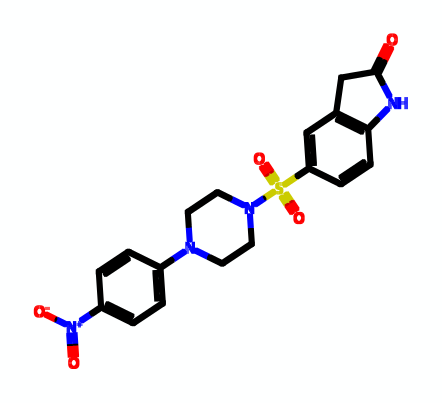 O=C1Cc2cc(S(=O)(=O)N3CCN(c4ccc([N+](=O)[O-])cc4)CC3)ccc2N1